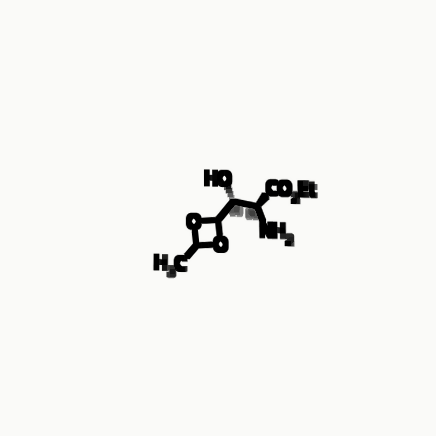 CCOC(=O)[C@@H](N)[C@@H](O)C1OC(C)O1